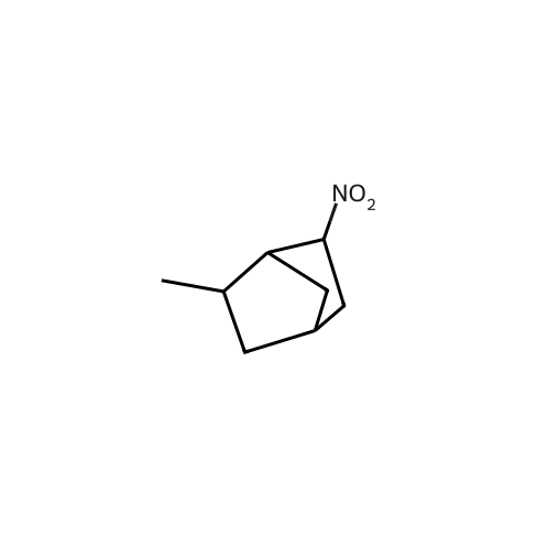 CC1CC2CC1C([N+](=O)[O-])C2